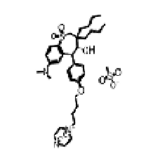 CCCCC1(CCCC)CS(=O)(=O)c2ccc(N(C)C)cc2C(c2ccc(OCCCC[N+]34CCN(CC3)CC4)cc2)[C@H]1O.CS(=O)(=O)[O-]